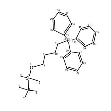 CC(C)(C)[Si](C)(C)OCCCC[PH](c1ccccc1)(c1ccccc1)c1ccccc1